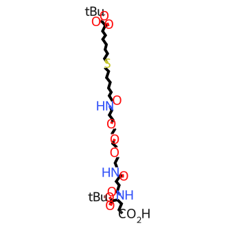 CC(C)(C)OC(=O)C(=O)CCCCCCCSCCCCCCCC(=O)NCCCOCCOCCOCCCNC(=O)CCC(=O)NC(CCC(=O)O)C(=O)OC(C)(C)C